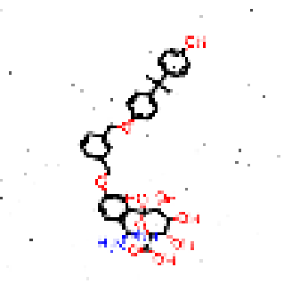 CC(C)(c1ccc(O)cc1)c1ccc(OCc2cccc(COc3ccc(C(=N)N)c(C4(O)O[C@H](C(=O)O)[C@@H](O)[C@H](O)[C@H]4O)c3)c2)cc1